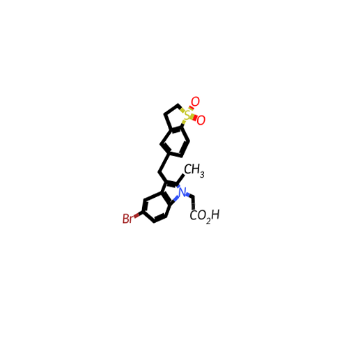 Cc1c(Cc2ccc3c(c2)CCS3(=O)=O)c2cc(Br)ccc2n1CC(=O)O